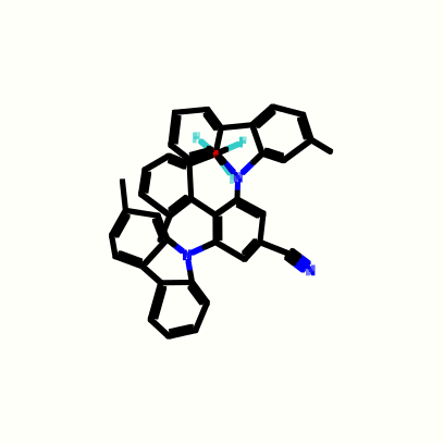 Cc1ccc2c3ccccc3n(-c3cc(C#N)cc(-n4c5ccccc5c5ccc(C)cc54)c3-c3c(C)cccc3C(F)(F)F)c2c1